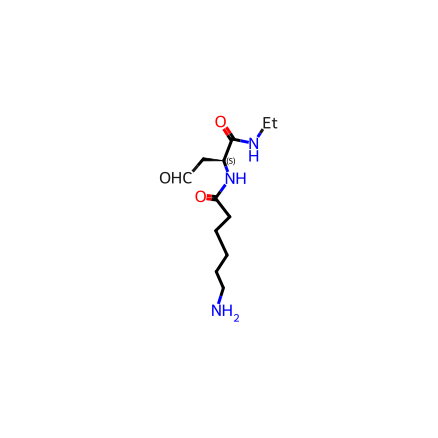 CCNC(=O)[C@H](CC=O)NC(=O)CCCCCN